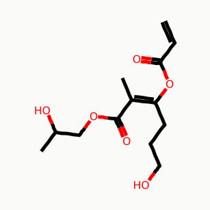 C=CC(=O)OC(CCCO)=C(C)C(=O)OCC(C)O